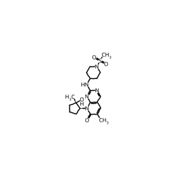 Cc1cc2cnc(NC3CCN(S(C)(=O)=O)CC3)nc2n([C@H]2CCC[C@]2(C)O)c1=O